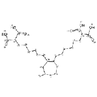 CC1CCCC(CCCCCCC(C(=O)O)C(=O)O)C(CCCCCCC(C(=O)O)C(=O)O)C1